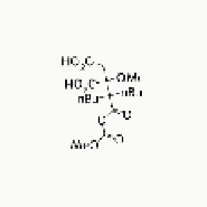 CCCCC(CCCC)(C(=O)OC(=O)OC)C(CC(=O)O)(OC)C(=O)O